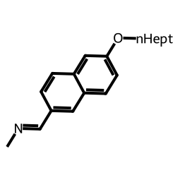 CCCCCCCOc1ccc2cc(/C=N/C)ccc2c1